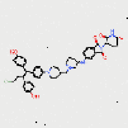 O=C1CCC(N2C(=O)c3ccc(N[C@@H]4CCCN(CC5CCN(c6ccc(C(=C(CCCl)c7ccc(O)cc7)c7ccc(O)cc7)cc6)CC5)C4)cc3C2=O)C(=O)N1